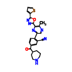 Cc1ncc(-c2ccc(C(=O)C3CCCNCC3)cc2C#N)nc1-c1nnc(-c2cccs2)o1